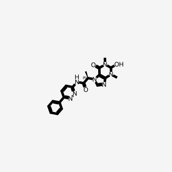 C[C@H](C(=O)Nc1ccc(-c2ccccc2)nn1)n1cnc2c1C(=O)N(C)C(O)N2C